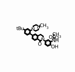 CN1CCN(c2cc(C(C)(C)C)ccc2-c2ccc3c(c2)CCN(c2ccc(O)c(NS(C)(=O)=O)c2)C3=O)CC1